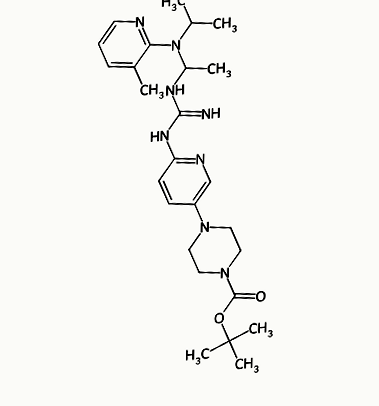 Cc1cccnc1N(C(C)C)C(C)NC(=N)Nc1ccc(N2CCN(C(=O)OC(C)(C)C)CC2)cn1